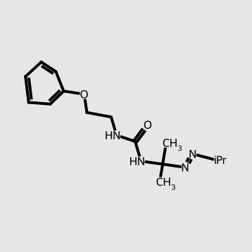 CC(C)N=NC(C)(C)NC(=O)NCCOc1ccccc1